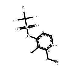 Cc1c(OS(=O)(=O)C(F)(F)F)ccnc1CBr